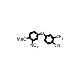 COc1ccc(Oc2ccc(C#N)c(C(F)(F)F)c2)cc1[N+](=O)[O-]